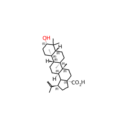 C=C(C)[C@@H]1CC[C@]2(C(=O)O)CC[C@]3(C)[C@H](CC[C@@H]4[C@@]5(C)CC[C@H](O)C(C)(C)[C@@H]5CC[C@]43C)C12